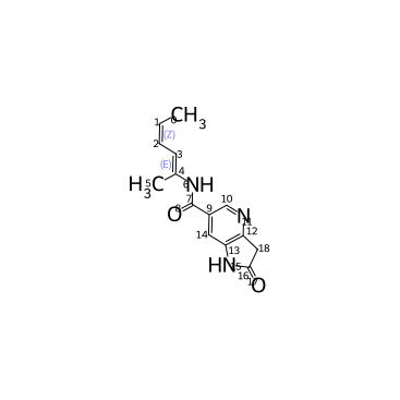 C/C=C\C=C(/C)NC(=O)c1cnc2c(c1)NC(=O)C2